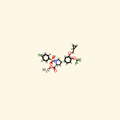 COC(=O)[C@@H]1C[C@@H](c2ccc(OC(F)F)c(OCC3CC3)c2)CN1S(=O)(=O)c1ccc(F)cc1